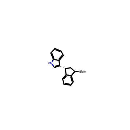 CN[C@@H]1C[C@@H](c2c[nH]c3ccccc23)c2ccccc21